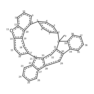 CC12c3ccc(cc3)-c3cccc4oc5ccc(cc5c34)-n3c4ccccc4c4cc(c1cc43)-c1ccccc12